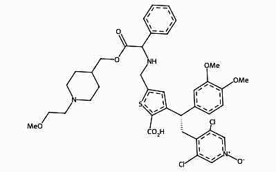 COCCN1CCC(COC(=O)C(NCc2cc([C@@H](Cc3c(Cl)c[n+]([O-])cc3Cl)c3ccc(OC)c(OC)c3)c(C(=O)O)s2)c2ccccc2)CC1